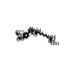 CC(C)(C)OC(=O)NCCCCCCC(=O)Nc1ncc(-c2ccc(OC(=O)OCC(Cl)(Cl)Cl)cc2)s1